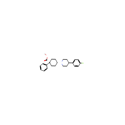 COC(=O)[C@]1(c2ccccc2)CC[C@@H](N2CCC(c3ccc(F)cc3)CC2)CC1